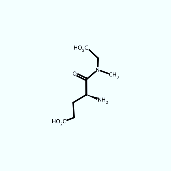 CN(CC(=O)O)C(=O)[C@@H](N)CCC(=O)O